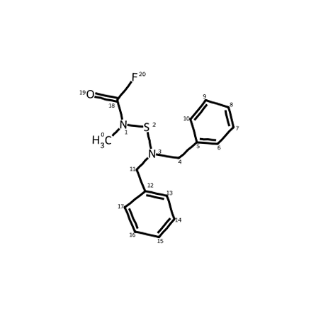 CN(SN(Cc1ccccc1)Cc1ccccc1)C(=O)F